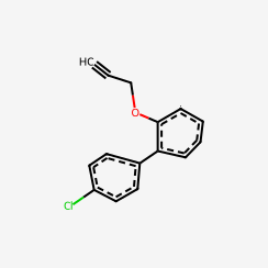 C#CCOc1[c]cccc1-c1ccc(Cl)cc1